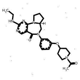 CCNc1ncc2c(n1)N1CCC[C@H]1CN(c1cccc(OC3CCN(C(C)=O)CC3)c1)C2=O